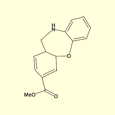 COC(=O)C1=CC2Oc3ccccc3NCC2C=C1